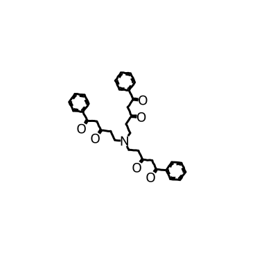 O=C(CCN(CCC(=O)CC(=O)c1ccccc1)CCC(=O)CC(=O)c1ccccc1)CC(=O)c1ccccc1